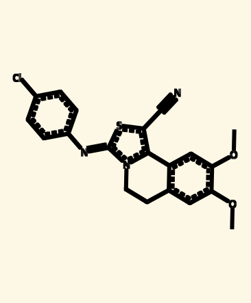 COc1cc2c(cc1OC)-c1c(C#N)sc(=Nc3ccc(Cl)cc3)n1CC2